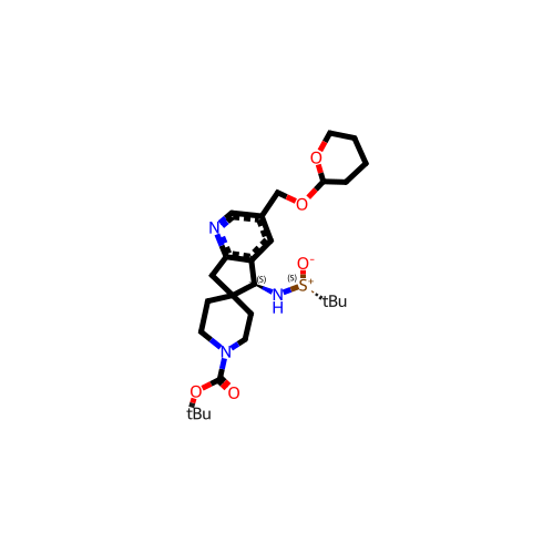 CC(C)(C)OC(=O)N1CCC2(CC1)Cc1ncc(COC3CCCCO3)cc1[C@H]2N[S@+]([O-])C(C)(C)C